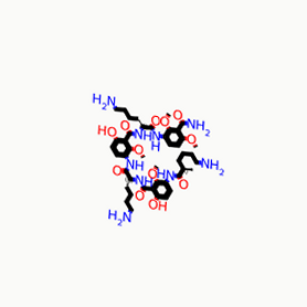 COc1ccc(NC(=O)[C@@H](CCCCN)NC(=O)c2c(O)ccc(NC(=O)[C@@H](CCCCN)NC(=O)c3c(O)ccc(NC(=O)[C@H](C)CCCCN)c3OC)c2OC)c(OC)c1C(N)=O